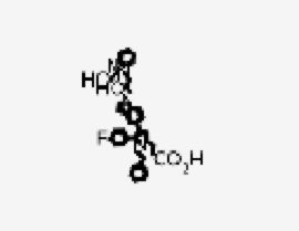 O=C(O)CCc1cc(-c2ccc3c(ccn3C[C@@H](O)Cn3c(CO)nc4ccccc43)c2)c(-c2ccc(F)cc2)n1CCc1ccccc1